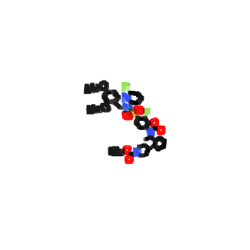 COc1ccc(CN(c2cccc(F)n2)S(=O)(=O)c2ccc3c(oc(=O)n3C(C)c3ccccc3C3=CCN(C(=O)OC(C)(C)C)CC3)c2F)c(OC)c1